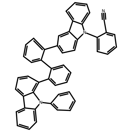 N#Cc1ccccc1-n1c2ccccc2c2cc(-c3ccccc3-c3ccccc3-c3cccc4c5ccccc5n(-c5ccccc5)c34)ccc21